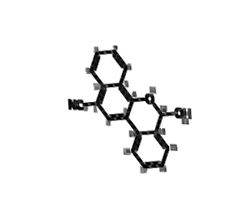 N#Cc1cc2c(c3ccccc13)OC(O)c1ccccc1-2